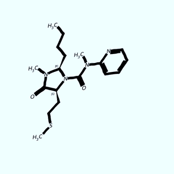 CCCC[C@@H]1N(C)C(=O)[C@H](CCSC)N1C(=O)N(C)c1ccccn1